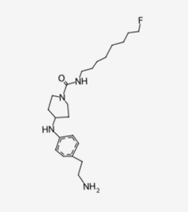 NCCc1ccc(NC2CCN(C(=O)NCCCCCCCCF)CC2)cc1